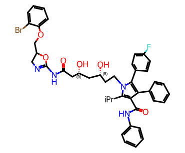 CC(C)c1c(C(=O)Nc2ccccc2)c(-c2ccccc2)c(-c2ccc(F)cc2)n1CC[C@@H](O)C[C@@H](O)CC(=O)NC1=NCC(COc2ccccc2Br)O1